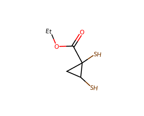 CCOC(=O)C1(S)CC1S